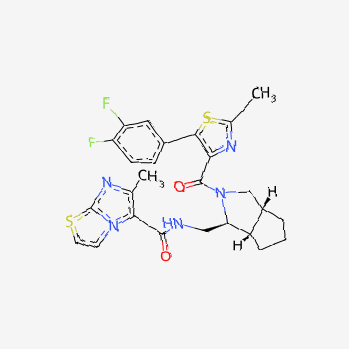 Cc1nc(C(=O)N2C[C@@H]3CCC[C@@H]3[C@H]2CNC(=O)c2c(C)nc3sccn23)c(-c2ccc(F)c(F)c2)s1